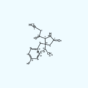 C#CCC(=O)C1NC(=O)CC1(Cc1ccc(F)cc1)C(C)C